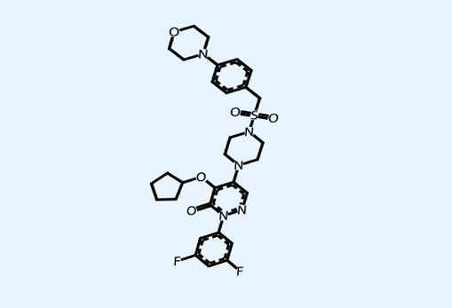 O=c1c(OC2CCCC2)c(N2CCN(S(=O)(=O)Cc3ccc(N4CCOCC4)cc3)CC2)cnn1-c1cc(F)cc(F)c1